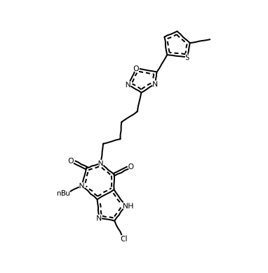 CCCCn1c(=O)n(CCCCc2noc(-c3ccc(C)s3)n2)c(=O)c2[nH]c(Cl)nc21